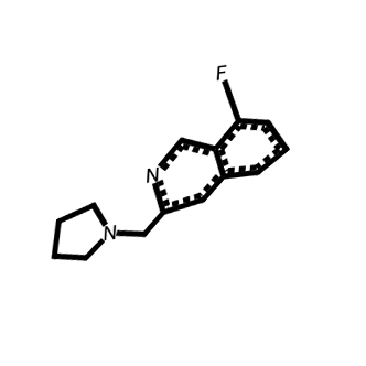 Fc1cccc2cc(CN3CCCC3)ncc12